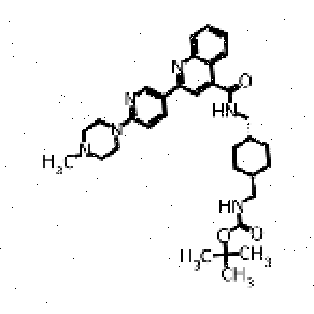 CN1CCN(c2ccc(-c3cc(C(=O)NC[C@H]4CC[C@H](CNC(=O)OC(C)(C)C)CC4)c4ccccc4n3)cn2)CC1